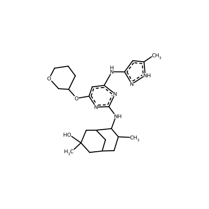 Cc1cc(Nc2cc(OC3CCCOC3)nc(NC3C(C)CC4CC3CC(C)(O)C4)n2)n[nH]1